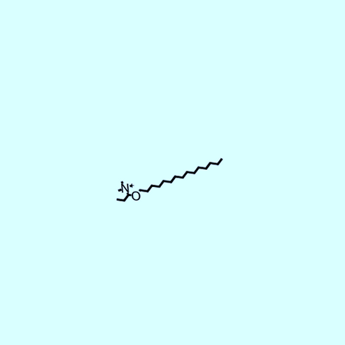 CCCCCCCCCCCCCCCOC(CC)[N+](C)(C)C